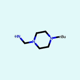 CCCCN1CCN(C[NH])CC1